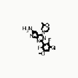 COc1cc(OC)c(F)c(-c2nc(N3CCOC(C)C3)c3cc(N)ncc3n2)c1F